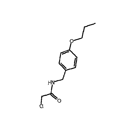 CCCOc1ccc(CNC(=O)CCl)cc1